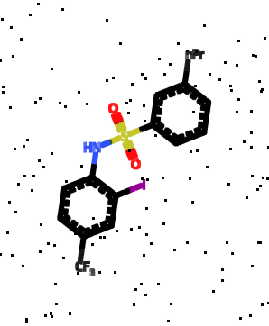 CCCc1cccc(S(=O)(=O)Nc2ccc(C(F)(F)F)cc2I)c1